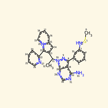 CSNc1cccc(-c2nn(C(C)c3cc4ccccn4c3-c3ccccn3)c3ncnc(N)c23)c1